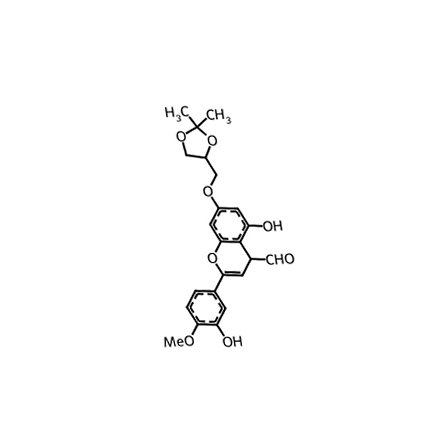 COc1ccc(C2=CC(C=O)c3c(O)cc(OCC4COC(C)(C)O4)cc3O2)cc1O